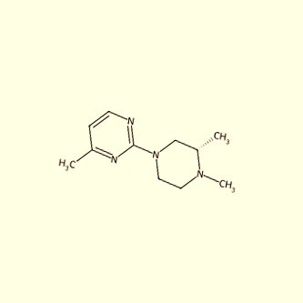 Cc1ccnc(N2CCN(C)[C@@H](C)C2)n1